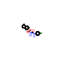 O=C(Nc1ccc(F)cc1)NS(=O)(=O)c1ccc2c(c1)CCC2